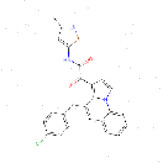 Cc1cc(NC(=O)C(=O)c2ccn3c2c(Cc2ccc(Cl)cc2)cc2ccccc23)sn1